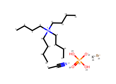 CC#N.CCCC[N+](CCCC)(CCCC)CCCC.O=P([O-])(O)O.[Br-].[K+]